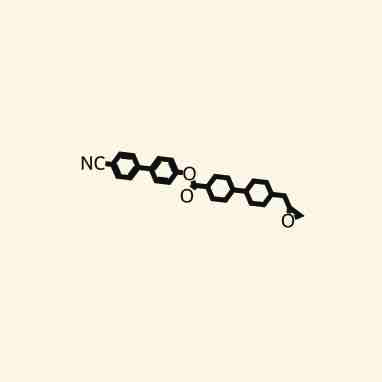 N#Cc1ccc(-c2ccc(OC(=O)C3CCC(C4CCC(CC5CO5)CC4)CC3)cc2)cc1